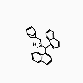 C1=CC2CC1CC2C[SiH2]C(c1cccc2ccccc12)c1cccc2ccccc12